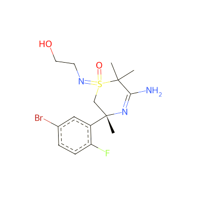 CC1(C)C(N)=N[C@](C)(c2cc(Br)ccc2F)CS1(=O)=NCCO